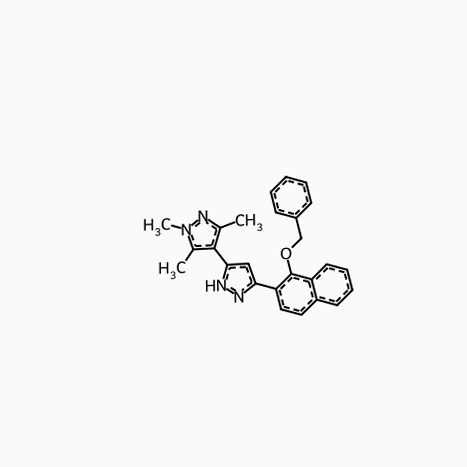 Cc1nn(C)c(C)c1-c1cc(-c2ccc3ccccc3c2OCc2ccccc2)n[nH]1